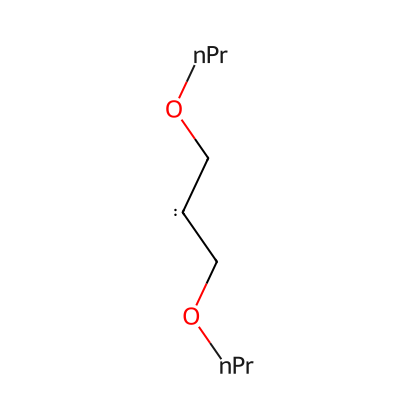 CCCOC[C]COCCC